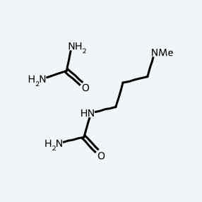 CNCCCNC(N)=O.NC(N)=O